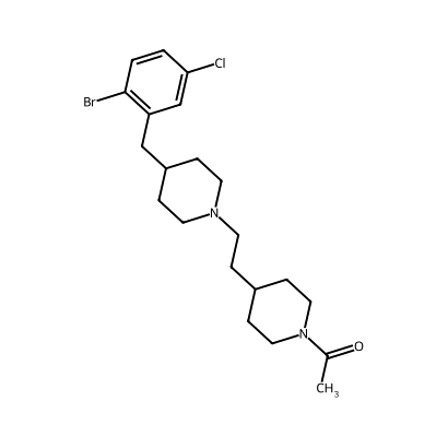 CC(=O)N1CCC(CCN2CCC(Cc3cc(Cl)ccc3Br)CC2)CC1